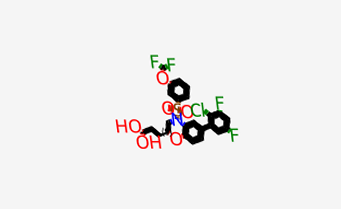 O=S(=O)(c1cccc(OC(F)F)c1)N1C[C@H](CCC(O)O)Oc2ccc(-c3cc(F)cc(F)c3Cl)cc21